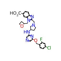 O=C(O)c1ccc2nc(CN3CCC(Nc4cncc(OCc5ccc(Cl)cc5F)n4)C3)n(CC3CCO3)c2c1